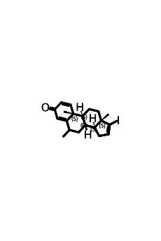 CC1C[C@@H]2[C@H](CC[C@]3(C)C(I)=CC[C@@H]23)[C@@]2(C)C=CC(=O)C=C12